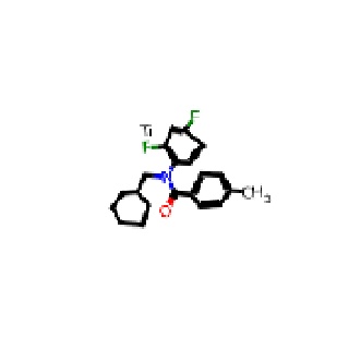 Cc1ccc(C(=O)N(CC2CCCCC2)c2ccc(F)[c]c2F)cc1.[Ti]